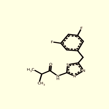 CC(C)C(=O)Nc1nnc(Cc2cc(F)cc(F)c2)s1